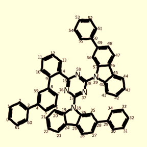 c1ccc(-c2cccc(-c3ccccc3-c3nc(-n4c5ccccc5c5ccc(-c6ccccc6)cc54)nc(-n4c5ccccc5c5ccc(-c6ccccc6)cc54)n3)c2)cc1